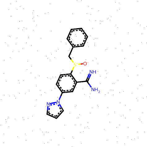 N=C(N)c1cc(-n2cccn2)ccc1[S+]([O-])Cc1ccccc1